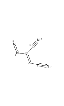 [N]=N/C(C#N)=C/C#N